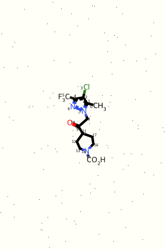 Cc1c(Cl)c(C(F)(F)F)nn1CC(=O)C1CCN(C(=O)O)CC1